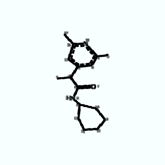 Cc1cc(C(C)C(=O)NC2CCCCC2)cc(C)n1